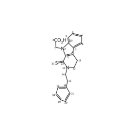 O=C(O)Cn1c2c(c3ccccc31)CCN(CCc1ccccc1)C2=S